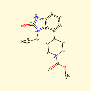 CC(C)(C)OC(=O)N1CCC(c2cccc3[nH]c(=O)n(CC(=O)O)c23)CC1